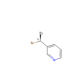 CC[C@H](Br)c1cccnc1